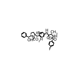 C[C@H](NS(=O)(=O)c1ccc(F)cc1)C(=O)Nc1ccc(C[C@]2(C(C)(C)C)CC[C@H]([C@H](O)c3ccccc3)N2C(=O)O)cc1